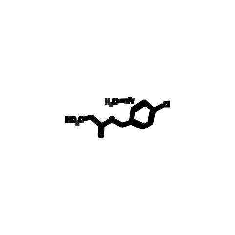 CCCC.O=C(O)CC(=O)OCc1ccc(Cl)cc1